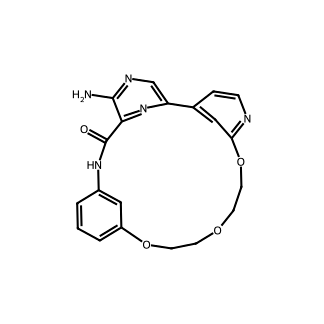 Nc1ncc2nc1C(=O)Nc1cccc(c1)OCCOCCOc1cc-2ccn1